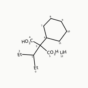 CCC(CC)C(C(=O)O)(C(=O)O)C1CCCCC1.[LiH]